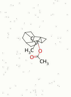 CC(=O)OC1(C)C2C3CC4CC(C3)C3(CC13)C2C4